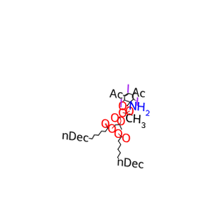 CCCCCCCCCCCCCCCC(=O)OCC(COC(=O)CCCCCCCCCCCCCCC)OC(=O)OC(C)OC(=O)C1(N)C(I)=C(C(C)=O)C(I)=C(C(C)=O)C1I